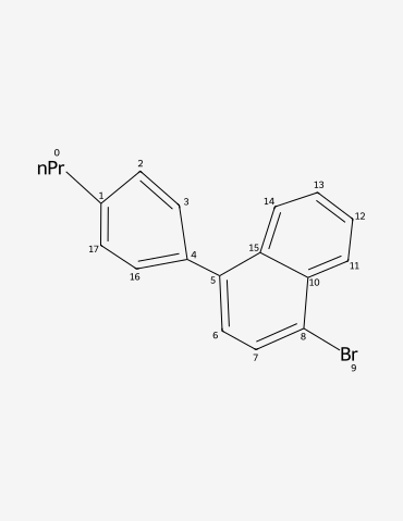 CCCc1ccc(-c2ccc(Br)c3ccccc23)cc1